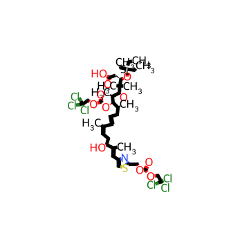 CC[Si](CC)(CC)O[C@@H](CC(=O)O)C(C)(C)C(=O)[C@H](C)[C@@H](OC(=O)OCC(Cl)(Cl)Cl)[C@@H](C)C/C=C/C(C)=C\CC(O)/C(C)=C/c1csc(COC(=O)OCC(Cl)(Cl)Cl)n1